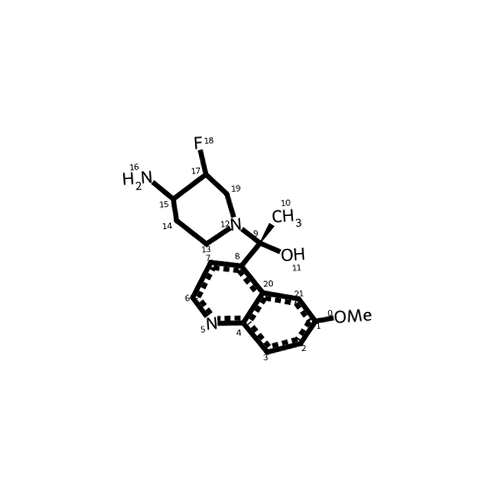 COc1ccc2nccc([C@@](C)(O)N3CCC(N)C(F)C3)c2c1